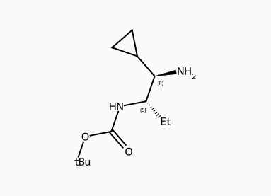 CC[C@H](NC(=O)OC(C)(C)C)[C@H](N)C1CC1